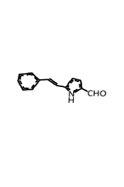 O=Cc1ccc(C=Cc2ccccc2)[nH]1